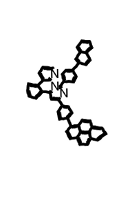 c1cncc(-c2ccccc2-c2cc(-c3ccc(-c4ccc5ccc6cccc7ccc4c5c67)cc3)nc(-c3ccc(-c4ccc5ccccc5c4)cc3)n2)c1